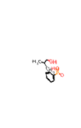 CC(C)CO.O=[PH](O)c1ccccc1